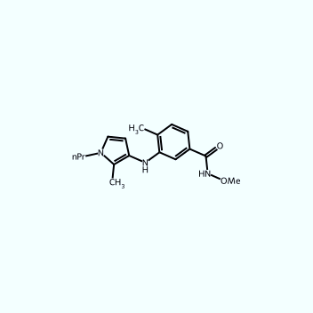 CCCn1ccc(Nc2cc(C(=O)NOC)ccc2C)c1C